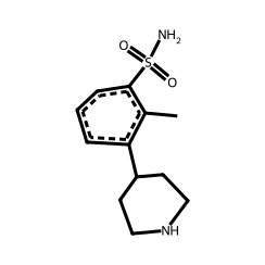 Cc1c(C2CCNCC2)cccc1S(N)(=O)=O